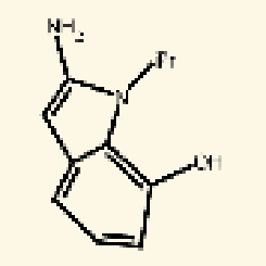 CC(C)n1c(N)cc2cccc(O)c21